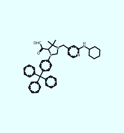 CC1(C)C(C(=O)C=O)N(c2ccc(C(c3ccccc3)(c3ccccc3)c3ccccc3)cc2)CN1Cc1ccnc(NC2CCCCC2)c1